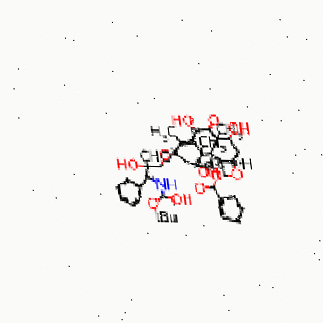 CC(=O)O[C@@]12CO[C@@H]1CC(O)C1(C)C(=O)[C@H](O)C3=C(C)[C@@H](OCC(O)(C=O)[C@@H](NC(O)OC(C)(C)C)c4ccccc4)CC4(O)[C@@H](OC(=O)c5ccccc5)C12C34C